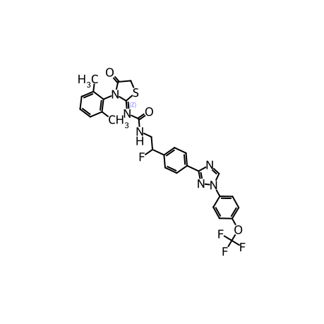 Cc1cccc(C)c1N1C(=O)CS/C1=N\C(=O)NCC(F)c1ccc(-c2ncn(-c3ccc(OC(F)(F)F)cc3)n2)cc1